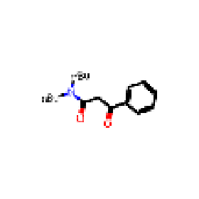 CCCCN(CCCC)C(=O)CC(=O)c1ccccc1